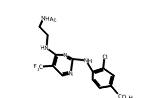 CC(=O)NCCNc1nc(Nc2ccc(C(=O)O)cc2Cl)ncc1C(F)(F)F